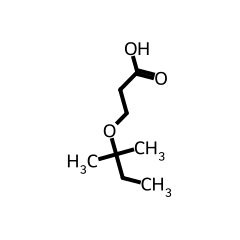 CCC(C)(C)OCCC(=O)O